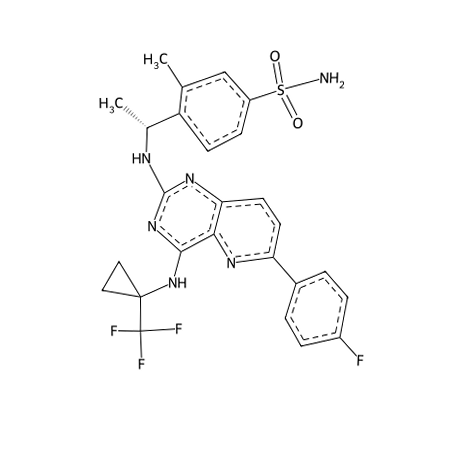 Cc1cc(S(N)(=O)=O)ccc1[C@@H](C)Nc1nc(NC2(C(F)(F)F)CC2)c2nc(-c3ccc(F)cc3)ccc2n1